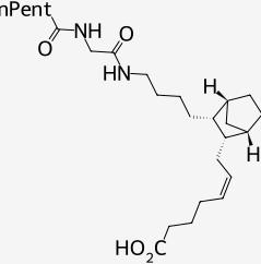 CCCCCC(=O)NCC(=O)NCCCC[C@@H]1[C@@H]2CC[C@@H](C2)[C@@H]1C/C=C\CCCC(=O)O